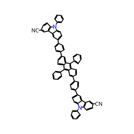 N#Cc1ccc2c(c1)c1cc(-c3ccc(-c4ccc5c(-c6ccccc6)c6cc(-c7ccc(-c8ccc9c(c8)c8cc(C#N)ccc8n9-c8ccccc8)cc7)ccc6c(-c6ccccc6)c5c4)cc3)ccc1n2-c1ccccc1